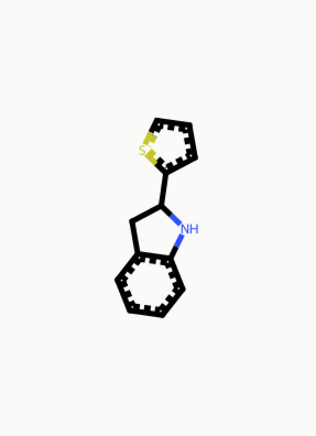 c1csc(C2Cc3ccccc3N2)c1